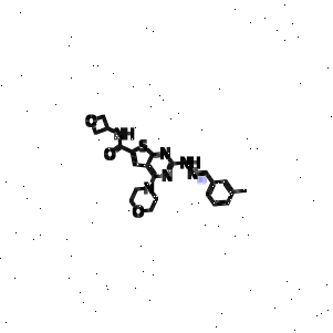 Cc1cccc(/C=N/Nc2nc(N3CCOCC3)c3cc(C(=O)NC4COC4)sc3n2)c1